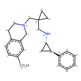 O=C(O)c1ccc2c(c1)CN(CC1(CN[C@H]3C[C@@H]3c3ccccc3)CC1)CC2